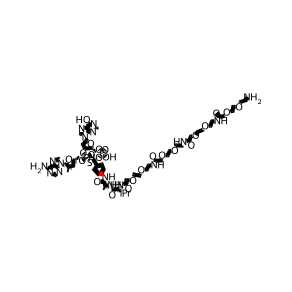 CC(C)[C@H](NC(=O)COCCOCCNC(=O)COCCOCCNC(=O)COCCOCCNC(=O)COCCOCCN)C(=O)N[C@@H](C)C(=O)Nc1ccc(CSP(=O)(OC[C@@H]2C[C@@H](C)[C@H](n3cnc4c(N)ncnc43)O2)OC2C[C@H](n3cnc4c(O)ncnc43)O[C@@H]2COP(=O)(O)O)cc1